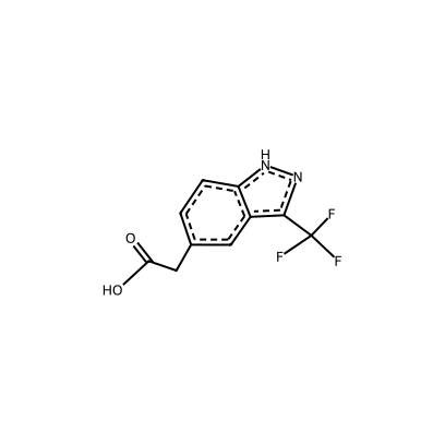 O=C(O)Cc1ccc2[nH]nc(C(F)(F)F)c2c1